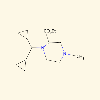 CCOC(=O)C1CN(C)CCN1C(C1CC1)C1CC1